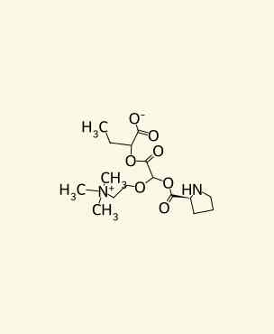 CCC(OC(=O)C(OCC[N+](C)(C)C)OC(=O)[C@@H]1CCCN1)C(=O)[O-]